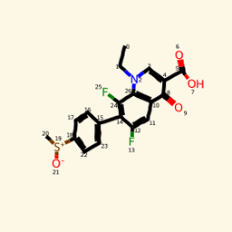 CCn1cc(C(=O)O)c(=O)c2cc(F)c(-c3ccc([S+](C)[O-])cc3)c(F)c21